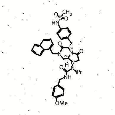 COc1ccc(CNC(=O)N(C(C)C)N2CC(=O)N3[C@@H](Cc4ccc(NS(C)(=O)=O)cc4)C(=O)N(Cc4cccc5ccccc45)C[C@@H]32)cc1